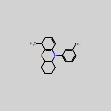 Cc1cccc(N2C3=C(SC4CCCCC42)C(C)CC=C3)c1